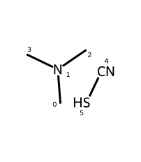 CN(C)C.N#CS